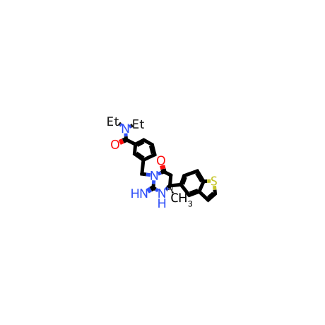 CCN(CC)C(=O)c1cccc(CN2C(=N)N[C@](C)(c3ccc4sccc4c3)CC2=O)c1